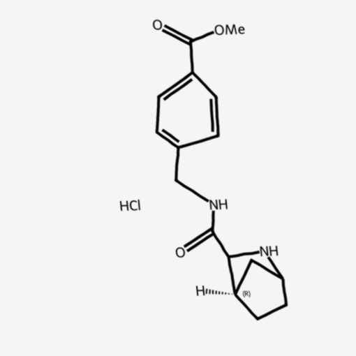 COC(=O)c1ccc(CNC(=O)C2NC3CC[C@@H]2C3)cc1.Cl